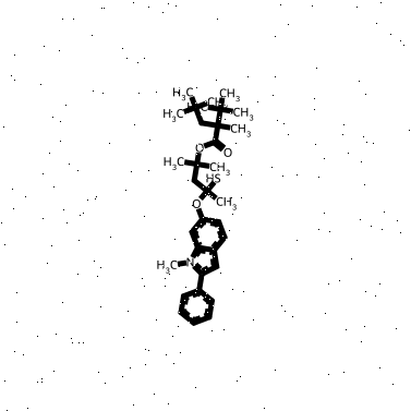 Cn1c(-c2ccccc2)cc2ccc(OC(C)(S)CC(C)(C)OC(=O)C(C)(CC(C)(C)C)C(C)(C)C)cc21